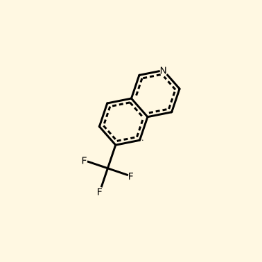 FC(F)(F)c1[c]c2ccncc2cc1